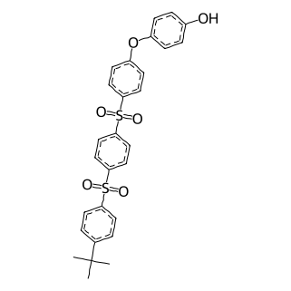 CC(C)(C)c1ccc(S(=O)(=O)c2ccc(S(=O)(=O)c3ccc(Oc4ccc(O)cc4)cc3)cc2)cc1